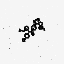 C[C@@H]1CCc2ncnc(N3CCN(C(=O)[C@@H](c4ccc(Cl)cc4)[C@@H]4CCCN4CC4CC4)CC3)c21